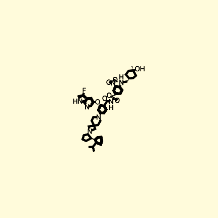 CC(C)c1ccccc1[C@H]1CCC[C@H]1N1CC2(CCN(c3ccc(C(=O)NS(=O)(=O)c4ccc(NC[C@H]5CC[C@](C)(O)CC5)c([N+](=O)[O-])c4)c(Oc4cnc5[nH]cc(F)c5c4)c3)CC2)C1